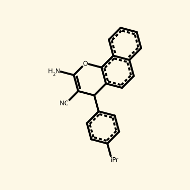 CC(C)c1ccc(C2C(C#N)=C(N)Oc3c2ccc2ccccc32)cc1